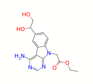 CCOC(=O)Cn1c2ccc(C(O)CO)cc2c2c(N)ncnc21